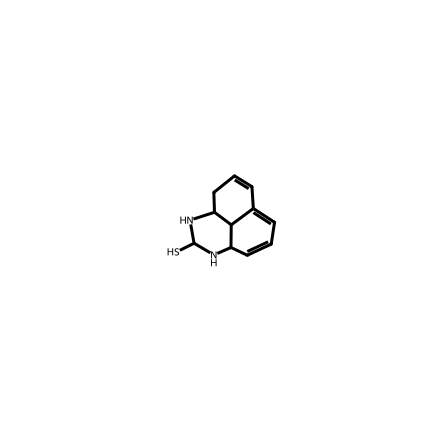 SC1NC2C=CC=C3C=CCC(N1)C32